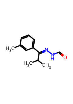 Cc1cccc(C(=NNC=O)C(C)C)c1